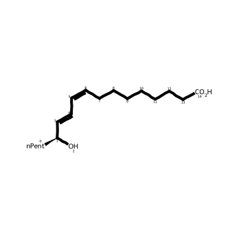 CCCCC[C@H](O)/C=C/C=C\CCCCCCCC(=O)O